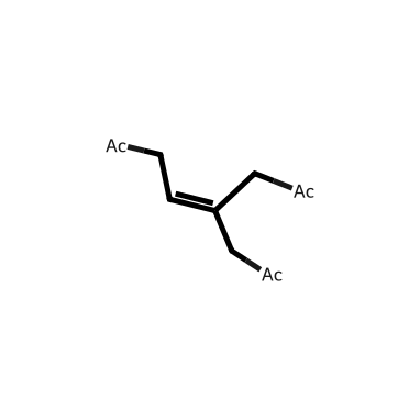 CC(=O)CC=C(CC(C)=O)CC(C)=O